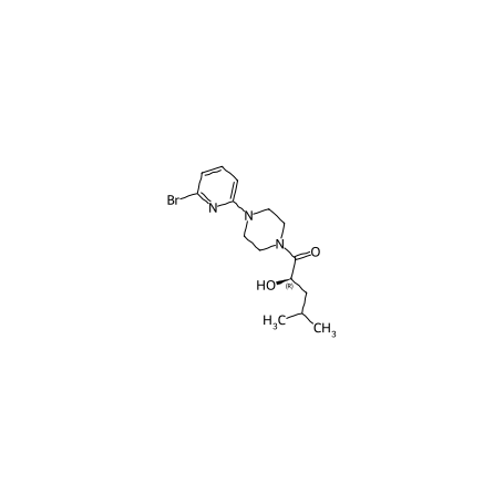 CC(C)C[C@@H](O)C(=O)N1CCN(c2cccc(Br)n2)CC1